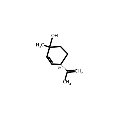 C=C(C)[C@@H]1C=CC(C)(O)CC1